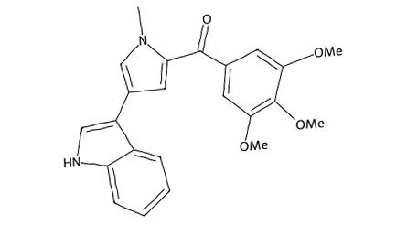 COc1cc(C(=O)c2cc(-c3c[nH]c4ccccc34)cn2C)cc(OC)c1OC